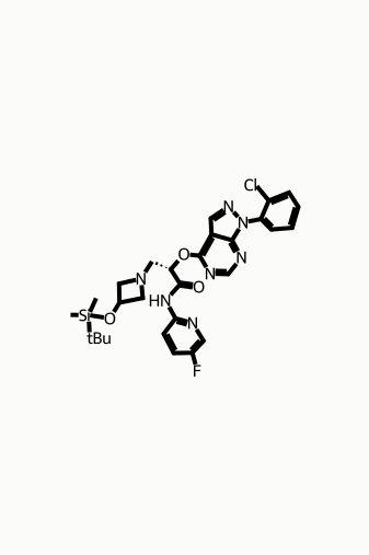 CC(C)(C)[Si](C)(C)OC1CN(C[C@H](Oc2ncnc3c2cnn3-c2ccccc2Cl)C(=O)Nc2ccc(F)cn2)C1